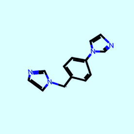 [CH](c1ccc(-n2ccnc2)cc1)n1ccnc1